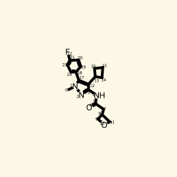 Cn1nc(NC(=O)CC2COC2)c(C2CCC2)c1-c1ccc(F)cc1